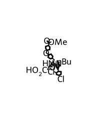 CCCCn1cc(-c2ccc(Cl)cc2Cl)nc1[C@H](Cc1ccc(Oc2ccc(C(=O)OC)cc2)cc1)NC(=O)CCC(=O)O